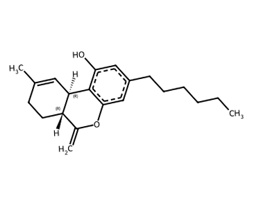 C=C1Oc2cc(CCCCCC)cc(O)c2[C@@H]2C=C(C)CC[C@@H]12